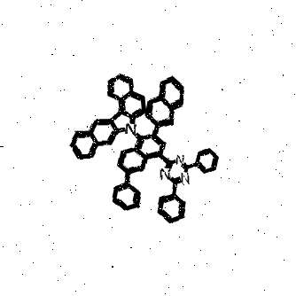 c1ccc(-c2ccc3c(-n4c5cc6ccccc6cc5c5c6ccccc6ccc54)c(-c4ccc5ccccc5c4)cc(-c4nc(-c5ccccc5)nc(-c5ccccc5)n4)c3c2)cc1